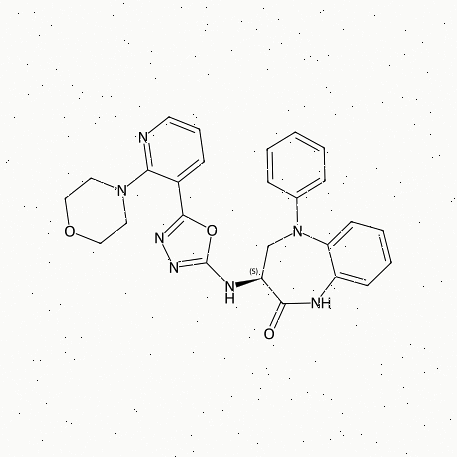 O=C1Nc2ccccc2N(c2ccccc2)C[C@@H]1Nc1nnc(-c2cccnc2N2CCOCC2)o1